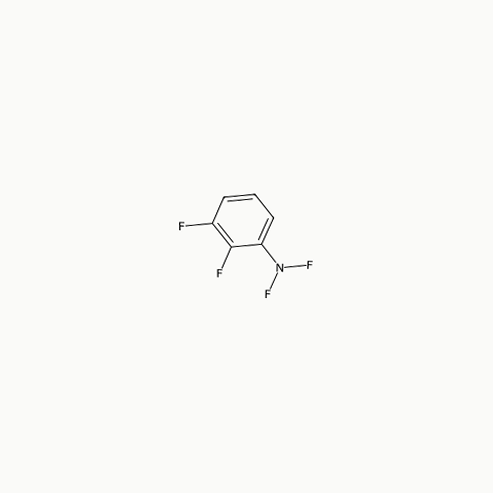 Fc1cccc(N(F)F)c1F